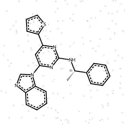 C[C@H](Nc1nc(-c2cccs2)cc(-n2cnc3ccccc32)n1)c1ccccc1